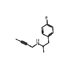 CC#CCNC(C)Cc1ccc(F)cc1